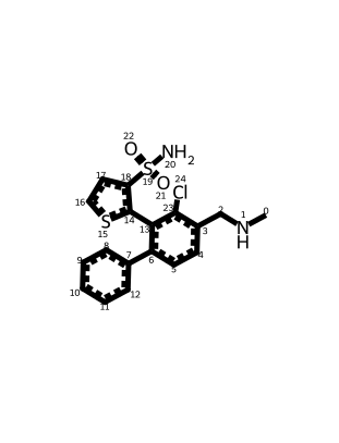 CNCc1ccc(-c2ccccc2)c(-c2sccc2S(N)(=O)=O)c1Cl